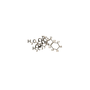 CC(C)(C)[Si](C)(C)CC1[C]([Ti])=CC2=C1CCCC2